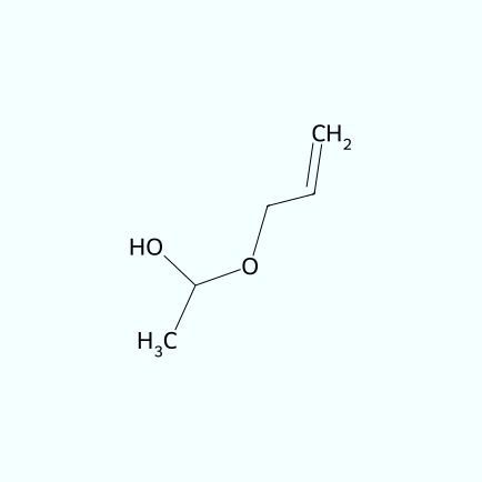 C=CCOC(C)O